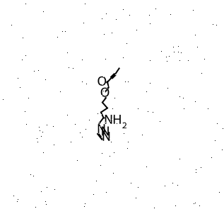 CC#CC(=O)COCCCCC(N)Cn1ccnn1